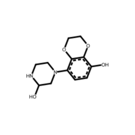 Oc1ccc(N2CCNC(O)C2)c2c1OCCO2